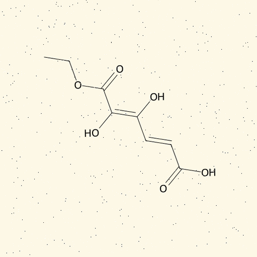 CCOC(=O)/C(O)=C(O)/C=C/C(=O)O